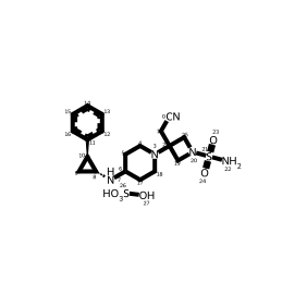 N#CCC1(N2CCC(N[C@@H]3C[C@H]3c3ccccc3)CC2)CN(S(N)(=O)=O)C1.O=S(=O)(O)O